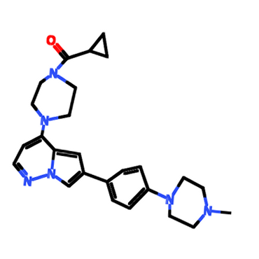 CN1CCN(c2ccc(-c3cc4c(N5CCN(C(=O)C6CC6)CC5)ccnn4c3)cc2)CC1